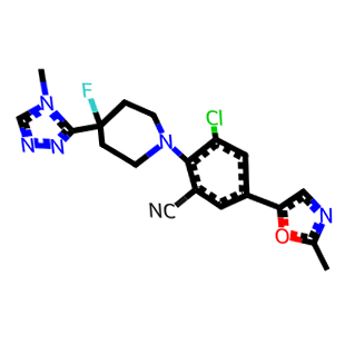 Cc1ncc(-c2cc(Cl)c(N3CCC(F)(c4nncn4C)CC3)c(C#N)c2)o1